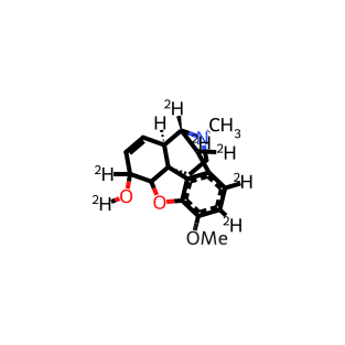 [2H]OC1([2H])C=C[C@@H]2[C@@]34CCN(C)[C@]2([2H])C([2H])([2H])c2c([2H])c([2H])c(OC)c(c23)OC14